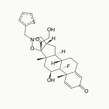 C[C@]12C=CC(=O)C=C1CC[C@H]1[C@@H]3C[C@H]4CN(Cc5cccs5)O[C@@]4(C(=O)CO)[C@@]3(C)C[C@H](O)[C@@]12F